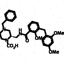 COc1ccc(Cc2cccc(C(=O)NC[C@H]3CN(Cc4ccccc4)CCN3C(=O)O)c2OC)c(OC)c1